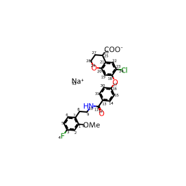 COc1cc(F)ccc1CCNC(=O)c1ccc(Oc2cc3c(cc2Cl)C(C(=O)[O-])CCO3)cc1.[Na+]